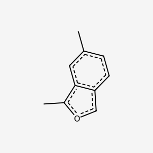 Cc1ccc2coc(C)c2c1